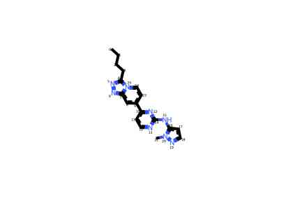 CCCCc1nnc2cc(-c3ccnc(Nc4ccnn4C)n3)ccn12